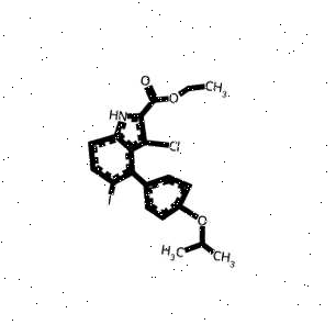 CCOC(=O)c1[nH]c2ccc(I)c(-c3ccc(OC(C)C)cc3)c2c1Cl